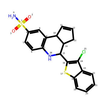 NS(=O)(=O)c1ccc2c(c1)C1C=CCC1C(c1sc3ccccc3c1Cl)N2